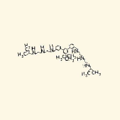 CCC(CC)CNCCCNCCCNCC1=CC(c2cc(-c3cccc(CNCCCNCCCNCC(CC)CC)c3)cc(C(C)(C)C)c2)CC=C1